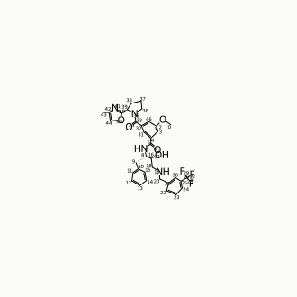 COc1cc(C(=O)N[C@@H](Cc2ccccc2)[C@@H](O)CNCc2cccc(C(F)(F)F)c2)cc(C(=O)N2CCC[C@@H]2c2nc(C)co2)c1